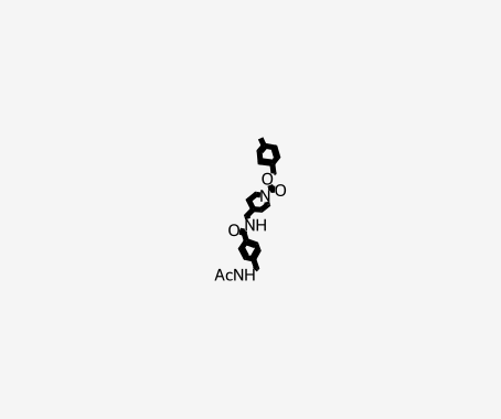 CC(=O)NCc1ccc(C(=O)NCC2CCN(C(=O)OCc3ccc(C)cc3)CC2)cc1